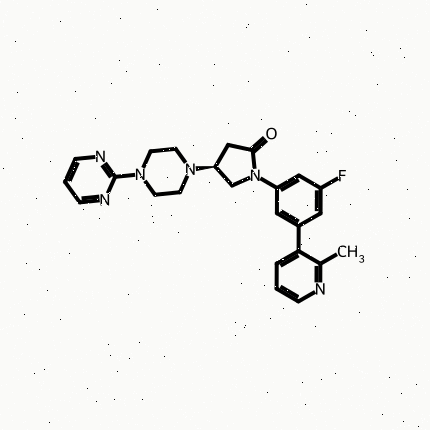 Cc1ncccc1-c1cc(F)cc(N2C[C@@H](N3CCN(c4ncccn4)CC3)CC2=O)c1